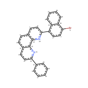 Brc1ccc(-c2ccc3ccc4ccc(-c5ccccc5)nc4c3n2)c2ccccc12